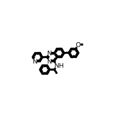 COc1cccc(-c2ccc3nc(-c4cccnc4)nc(NC(C)c4ccccc4)c3c2)c1